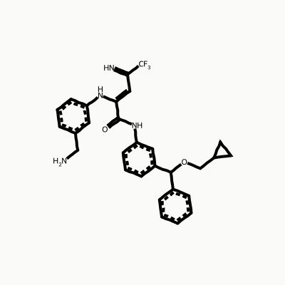 N=C(/C=C(\Nc1cccc(CN)c1)C(=O)Nc1cccc(C(OCC2CC2)c2ccccc2)c1)C(F)(F)F